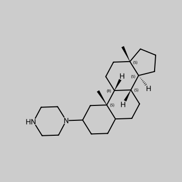 C[C@@]12CCC[C@H]1[C@@H]1CCC3CCC(N4CCNCC4)C[C@]3(C)[C@@H]1CC2